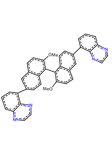 COc1ccc2cc(-c3cccc4nccnc34)ccc2c1-c1c(OC)ccc2cc(-c3cccc4nccnc34)ccc12